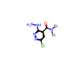 CCN(CC)C(=O)c1cc(Cl)nnc1NN